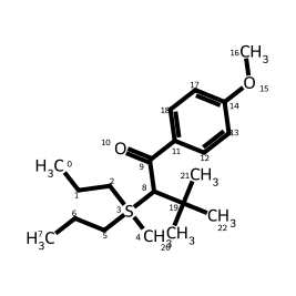 CCCS(C)(CCC)C(C(=O)c1ccc(OC)cc1)C(C)(C)C